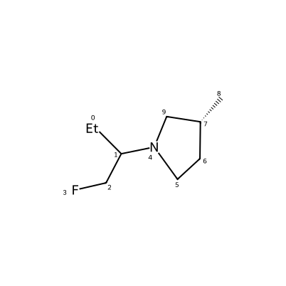 CCC(CF)N1CC[C@@H](C)C1